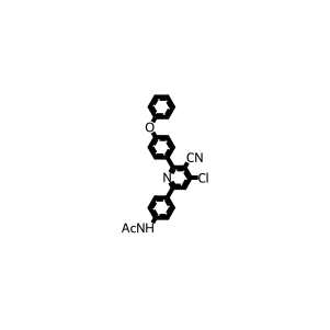 CC(=O)Nc1ccc(-c2cc(Cl)c(C#N)c(-c3ccc(Oc4ccccc4)cc3)n2)cc1